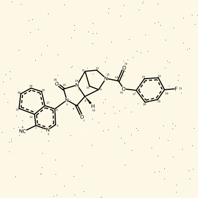 N#Cc1ncc(N2C(=O)[C@H]3C4CC(CN4C(=O)Oc4ccc(F)cc4)N3C2=O)c2ccccc12